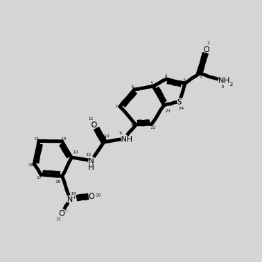 NC(=O)c1cc2ccc(NC(=O)Nc3ccccc3[N+](=O)[O-])cc2s1